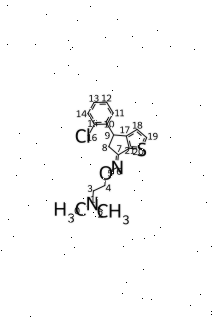 CN(C)CCON=C1CC(c2ccccc2Cl)c2ccsc21